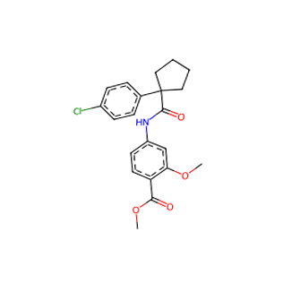 COC(=O)c1ccc(NC(=O)C2(c3ccc(Cl)cc3)CCCC2)cc1OC